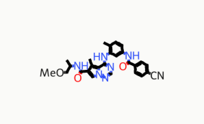 COCC(C)NC(=O)c1cn2ncnc(Nc3cc(NC(=O)c4ccc(C#N)cc4)ccc3C)c2c1C